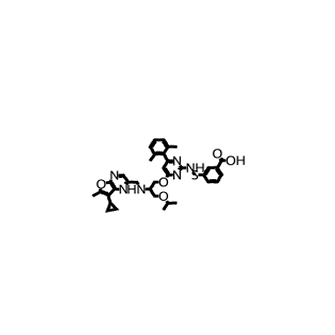 Cc1cccc(C)c1-c1cc(OCC(COC(C)C)NCc2cnc3oc(C)c(C4CC4)c3n2)nc(NSc2cccc(C(=O)O)c2)n1